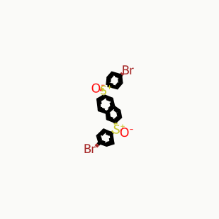 [O-][S+](c1ccc(Br)cc1)c1ccc2cc([S+]([O-])c3ccc(Br)cc3)ccc2c1